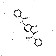 O=C(Nc1ccc(C(=O)N(O)c2ccccc2)c(Cl)c1)c1ccccc1